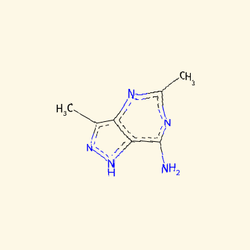 Cc1nc(N)c2[nH]nc(C)c2n1